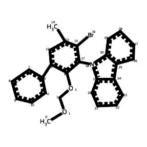 COCOc1c(-c2ccccc2)cc(C)c(Br)c1-n1c2ccccc2c2ccccc21